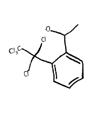 CC([O])c1ccccc1C(Cl)(Cl)C(Cl)(Cl)Cl